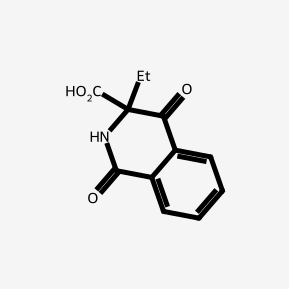 CCC1(C(=O)O)NC(=O)c2ccccc2C1=O